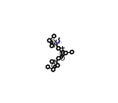 C=C/C=C\C(=C/C)N(c1ccc2c(c1)C(C)(C)c1c-2n2c3c1cc(-c1ccccc1)cc3c1oc3cc(N(c4ccccc4)c4cccc5c4oc4c(-c6ccccc6)cccc45)ccc3c12)c1cccc2c1oc1c(-c3ccccc3)cccc12